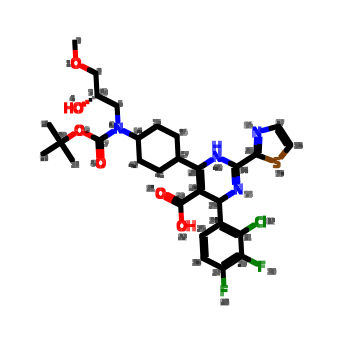 COC[C@@H](O)CN(C(=O)OC(C)(C)C)C1CCC(C2=C(C(=O)O)C(c3ccc(F)c(F)c3Cl)N=C(c3nccs3)N2)CC1